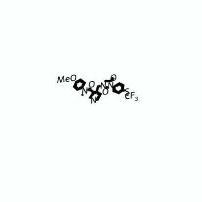 COc1ccc(N(C)C(=O)c2cnccc2CN2CC(=O)N(c3ccc(SC(F)(F)F)cc3)C2=O)cc1